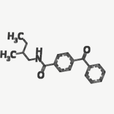 CCC(C)CNC(=O)c1ccc(C(=O)c2ccccc2)cc1